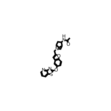 CC(=O)NC1CC2CC1CN2Cc1cc2cc(Oc3nc4ncccc4s3)ccc2o1